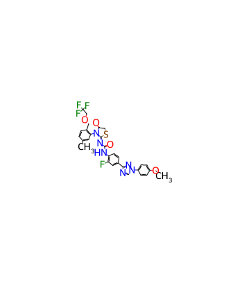 COc1ccc(-n2cnc(-c3ccc(NC(=O)N=C4SCC(=O)N4c4cc(C)ccc4COCC(F)(F)F)c(F)c3)n2)cc1